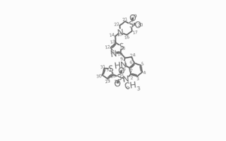 CN(c1cccc2c1NC(c1ncc(CN3CCS(=O)(=O)CC3)s1)C2)S(=O)(=O)c1cccs1